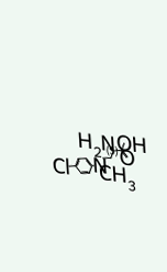 CN(CC[C@H](N)C(=O)O)c1ccc(Cl)cc1